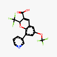 O=C(O)C1=Cc2cc(OC(F)(F)F)cc(-c3cccnc3)c2OC1C(F)(F)F